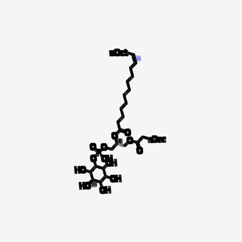 CCCCCCCC/C=C\CCCCCCCCCC(=O)O[C@H](COC(=O)CCCCCCCCCCC)COP(=O)(O)OC1C(O)C(O)C(O)[C@@H](O)C1O